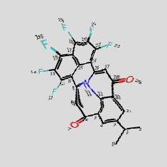 CC(C)c1cc2c(=O)cc3c4c(F)c(F)c(F)c5c(F)c(F)c(F)c(c54)c4cc(=O)c(c1)c2n34